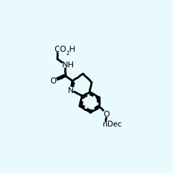 CCCCCCCCCCOc1ccc2c(c1)CCC(C(=O)NCC(=O)O)=N2